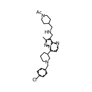 CC(=O)N1CCC(CNCc2c(C)nn3c(C4CCCN(Cc5ccc(Cl)cc5)C4)ccnc23)CC1